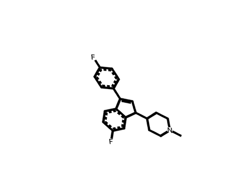 CN1CCC(C2C=C(c3ccc(F)cc3)c3ccc(F)cc32)CC1